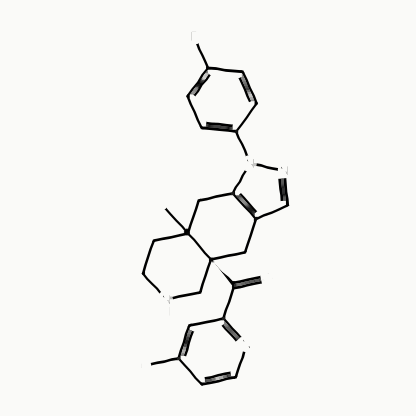 CC12CCNC[C@@]1(C(=O)c1cc(C(F)(F)F)ccn1)Cc1cnn(-c3ccc(F)cc3)c1C2